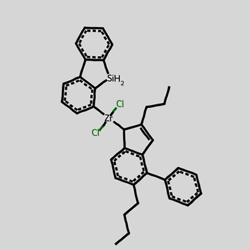 CCCCc1ccc2c(c1-c1ccccc1)C=C(CCC)[CH]2[Zr]([Cl])([Cl])[c]1cccc2c1[SiH2]c1ccccc1-2